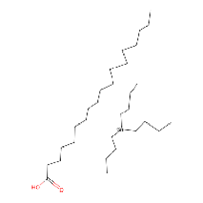 CCCCCCCCCCCCCCCCCC(=O)O.CCC[CH2][Sn]([CH2]CCC)[CH2]CCC